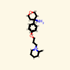 CC1CCCCN1CCCOc1ccc(C2(N)CCOCC2)cc1